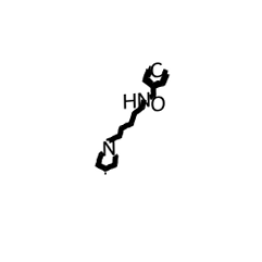 O=C(NCCCCCCN1CC[CH]CC1)c1ccccc1